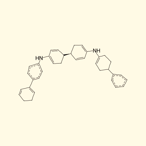 C1=CC(c2ccc(NC3=CCC([C@@H]4C=CC(NC5=CCC(c6ccccc6)CC5)=CC4)C=C3)cc2)=CCC1